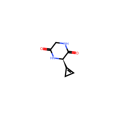 O=C1CNC(=O)[C@@H](C2=CC2)N1